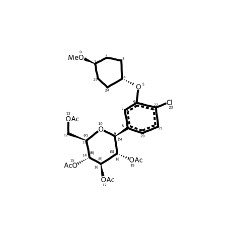 CO[C@H]1CC[C@H](Oc2cc([C@@H]3O[C@H](COC(C)=O)[C@@H](OC(C)=O)[C@H](OC(C)=O)[C@H]3OC(C)=O)ccc2Cl)CC1